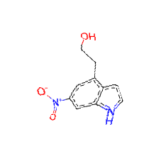 O=[N+]([O-])c1cc(CCO)c2cc[nH]c2c1